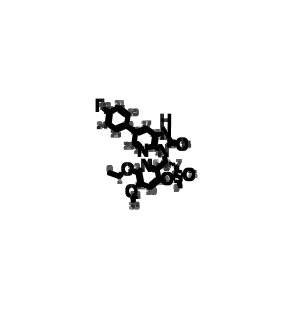 CCOc1nc([C@@H](CS(C)(=O)=O)n2c(=O)[nH]c3cc(-c4ccc(F)cc4)cnc32)ccc1OC